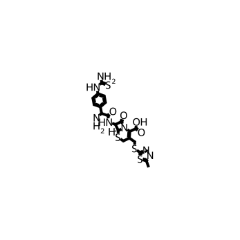 Cc1nnc(SCC2=C(C(=O)O)N3C(=O)C(NC(=O)C(N)c4ccc(NC(N)=S)cc4)[C@@H]3SC2)s1